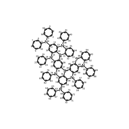 c1ccc(N(c2ccccc2)c2cc3c4c(c2)N(c2ccccc2)c2cc5c(cc2B4c2ccccc2N3c2ccccc2)B2c3cc4c(cc3N(c3ccccc3)c3cc(N(c6ccccc6)c6ccccc6)cc(c32)N5c2ccccc2)N(c2ccccc2)c2ccccc2S4)cc1